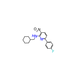 O=[N+]([O-])c1ccc(-c2ccc(F)cc2)nc1NCC1CCCCC1